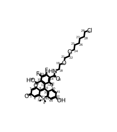 C[Si]1(C)C2=CC(=O)C=CC2=C(c2c(F)c(C(=O)NCCOCCOCCCCCCCl)c(F)c(F)c2C(=O)O)c2ccc(O)cc21